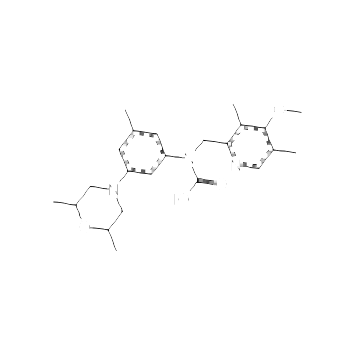 COc1c(C)cnc(CN(C(=O)O)c2cc(C)cc(N3CC(C)OC(C)C3)c2)c1C